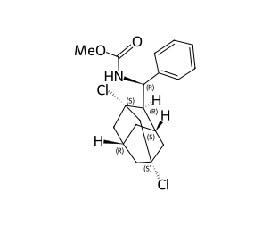 COC(=O)N[C@@H](c1ccccc1)[C@H]1[C@H]2C[C@@H]3C[C@](Cl)(C2)C[C@@]1(Cl)C3